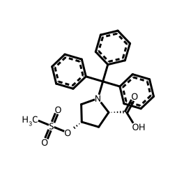 CS(=O)(=O)O[C@H]1C[C@@H](C(=O)O)N(C(c2ccccc2)(c2ccccc2)c2ccccc2)C1